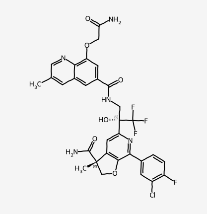 Cc1cnc2c(OCC(N)=O)cc(C(=O)NC[C@](O)(c3cc4c(c(-c5ccc(F)c(Cl)c5)n3)OC[C@]4(C)C(N)=O)C(F)(F)F)cc2c1